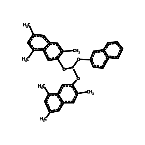 Cc1cc(C)c2cc(OP(Oc3ccc4ccccc4c3)Oc3cc4c(C)cc(C)cc4cc3C)c(C)cc2c1